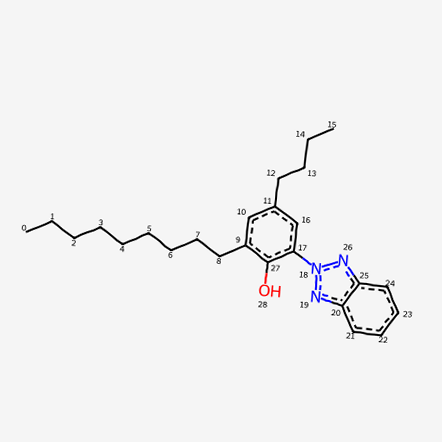 CCCCCCCCCc1cc(CCCC)cc(-n2nc3ccccc3n2)c1O